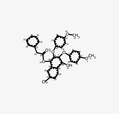 COc1ccc(Oc2c(Oc3ccc(OC)cc3)c(OC(=O)Cc3ccccc3)c3cc(Cl)ccc3c2O)cc1